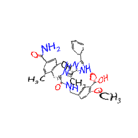 COc1ccc(CNC(=O)[C@H](Cc2c(C)cc(C(N)=O)cc2C)N[C@@H](C)c2nc(-c3ccccc3)c[nH]2)cc1C(=O)O